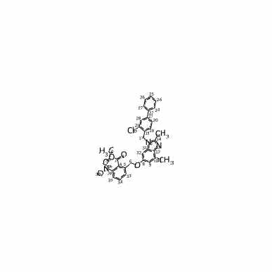 COC(=O)c1c(COc2cc(C)c3nc(C)n(Cc4ccc(-c5ccccc5)cc4Cl)c3c2)cccc1[N+](=O)[O-]